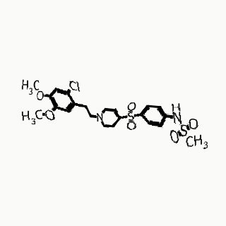 COc1cc(Cl)c(CCN2CCC(S(=O)(=O)c3ccc(NS(C)(=O)=O)cc3)CC2)cc1OC